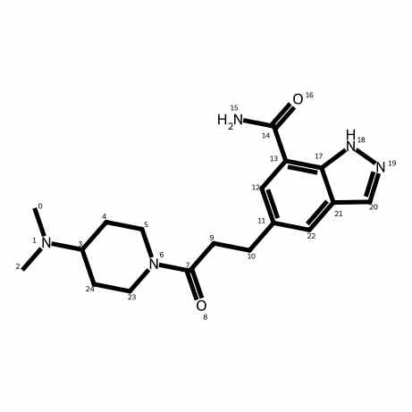 CN(C)C1CCN(C(=O)[CH]Cc2cc(C(N)=O)c3[nH]ncc3c2)CC1